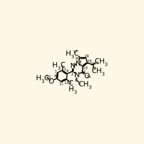 CCn1c(-c2c(C)cc(OC)cc2C)nn2c(C)cc(C(C)C)c2c1=O